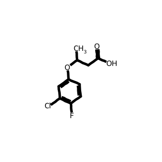 CC(CC(=O)O)Oc1ccc(F)c(Cl)c1